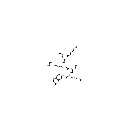 Cc1cc(=O)oc2cc(NC(=O)[C@H](CCCNC(=N)N)NC(=O)[C@H](CC(C)C)NC(=O)[C@H](CCCCN)NC(=O)[C@H](CCC(N)=O)NC(=O)[C@@H](N)CCCCN)ccc12.O=C(O)C(F)(F)F